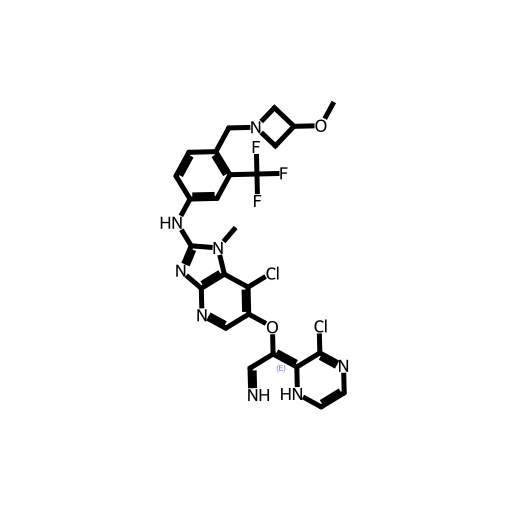 COC1CN(Cc2ccc(Nc3nc4ncc(O/C(C=N)=C5/NC=CN=C5Cl)c(Cl)c4n3C)cc2C(F)(F)F)C1